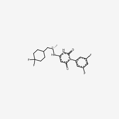 C[C@@H](CC1CCC(F)(F)CC1)Nc1cc(=O)n(-c2cc(F)cc(F)c2)c(=O)[nH]1